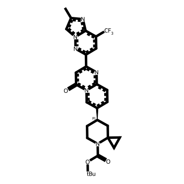 Cc1cn2nc(-c3cc(=O)n4cc([C@@H]5CCN(C(=O)OC(C)(C)C)C6(CC6)C5)ccc4n3)cc(C(F)(F)F)c2n1